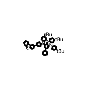 CC(C)(C)c1ccc(N2c3cc(C(C)(C)C)ccc3B3c4cc(C(C)(C)C)ccc4N(c4ccc(-c5ccc6oc7ccccc7c6c5)cc4)c4cc(-c5ccccc5)cc2c43)cc1